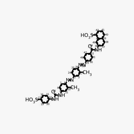 Cc1cc(N=Nc2ccc(NC(=O)Nc3ccc(S(=O)(=O)O)cc3)cc2C)ccc1N=Nc1ccc(C(=O)Nc2ccc3cccc(S(=O)(=O)O)c3c2)cc1